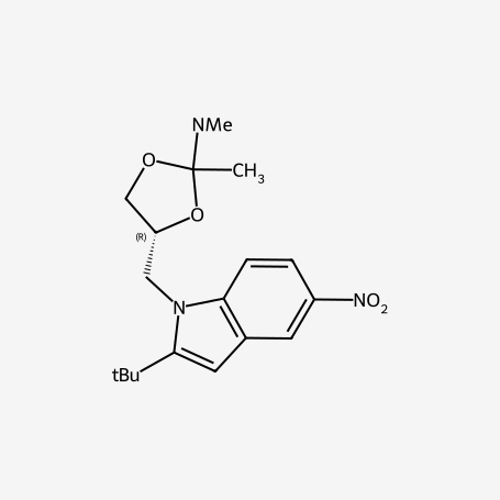 CNC1(C)OC[C@@H](Cn2c(C(C)(C)C)cc3cc([N+](=O)[O-])ccc32)O1